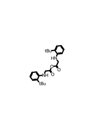 CC(C)(C)c1ccccc1NCC(=O)OC(=O)CNc1ccccc1C(C)(C)C